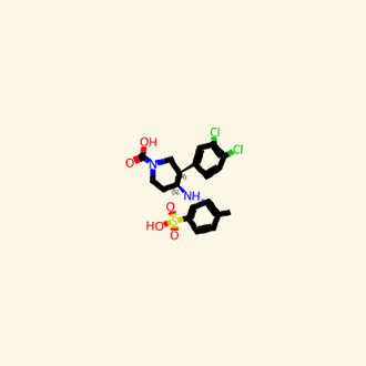 Cc1ccc(S(=O)(=O)O)cc1.N[C@H]1CCN(C(=O)O)C[C@H]1c1ccc(Cl)c(Cl)c1